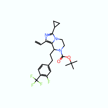 C=Cc1nc(C2CC2)n2c1C(CCc1ccc(C(F)(F)F)c(F)c1)N(C(=O)OC(C)(C)C)CC2